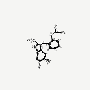 Cc1nc2cc(F)c(Br)cc2n1Cc1ccccc1OC(F)F